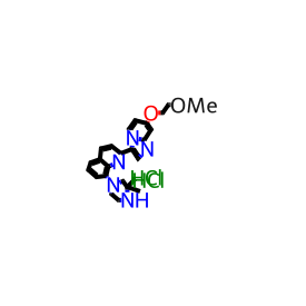 COCCOc1ccn2c(-c3ccc4cccc(N5CCNC(C)(C)C5)c4n3)cnc2c1.Cl.Cl